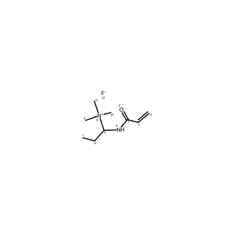 C=CC(=O)NC(CC)[N+](C)(C)C.[F-]